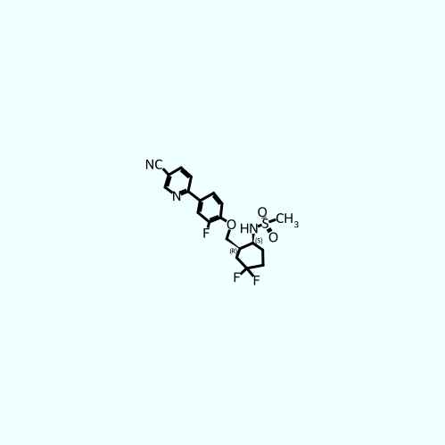 CS(=O)(=O)N[C@H]1CCC(F)(F)C[C@H]1COc1ccc(-c2ccc(C#N)cn2)cc1F